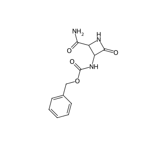 NC(=O)C1NC(=O)C1NC(=O)OCc1ccccc1